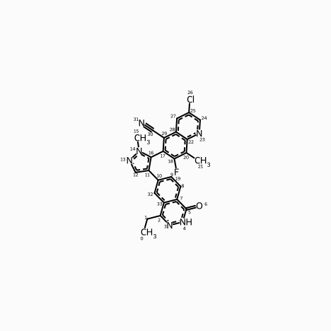 CCc1n[nH]c(=O)c2ccc(-c3cnn(C)c3-c3c(F)c(C)c4ncc(Cl)cc4c3C#N)cc12